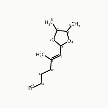 C/C(=C\C1OC(C)C(C)O1)CCCC(C)C